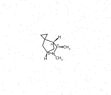 C[C@@H]1[C@@H]2C[C@@H](CC23CC3)N1C